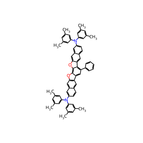 Cc1cc(C)cc(N(c2cc(C)cc(C)c2)c2ccc3cc4c(cc3c2)oc2c4cc(-c3ccccc3)c3c4cc5ccc(N(c6cc(C)cc(C)c6)c6cc(C)cc(C)c6)cc5cc4oc23)c1